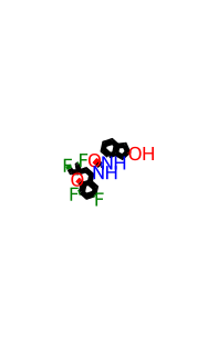 O=C(Nc1cccc2c1C[C@H](O)C2)N[C@@H]1CC(CF)(CF)Oc2c(F)cc(F)cc21